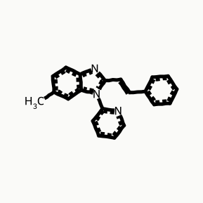 Cc1ccc2nc(C=Cc3ccccc3)n(-c3ccccn3)c2c1